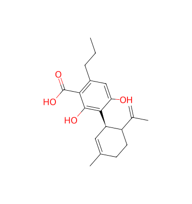 C=C(C)C1CCC(C)=C[C@H]1c1c(O)cc(CCC)c(C(=O)O)c1O